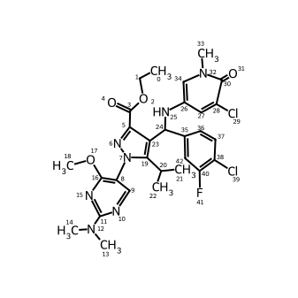 CCOC(=O)c1nn(-c2cnc(N(C)C)nc2OC)c(C(C)C)c1C(Nc1cc(Cl)c(=O)n(C)c1)c1ccc(Cl)c(F)c1